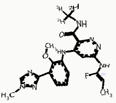 [2H]C([2H])([2H])NC(=O)c1nnc(N/C(F)=C/C)cc1Nc1cccc(-c2ncn(C)n2)c1OC